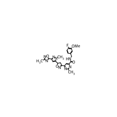 COc1cc(CNC(=O)c2cc(C3=NOC(c4cc(-c5nc(C)no5)nn4C)C3)nc(C)n2)ccc1F